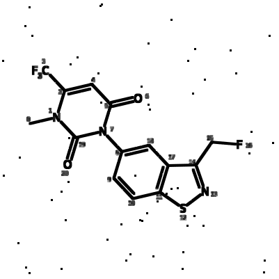 Cn1c(C(F)(F)F)cc(=O)n(-c2ccc3snc(CF)c3c2)c1=O